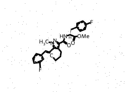 COC(=O)[C@@H](Cc1ccc(F)cc1)NC(=O)c1nn(C)c2c1CCCCC2=Cc1cccc(F)c1